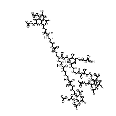 CC(=O)NC1C(CCCC(=O)C(=O)NCCCCC(=O)NCCN(CCNC(=O)CCCCNC(=O)C(=O)CCCC2OC(COC(C)=O)C(OC(C)=O)C(OC(C)=O)C2NC(C)=O)C(=O)CC[C@H](NC(=O)CCCCNC(=O)C(=O)CCCC2OC(COC(C)=O)C(OC(C)=O)C(OC(C)=O)C2NC(C)=O)C(=O)NCCOCC(=O)O)OC(COC(C)=O)C(OC(C)=O)C1OC(C)=O